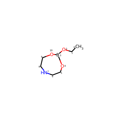 CCOB1OCCNCCO1